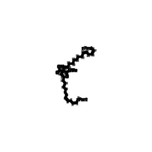 CCCCC/C=C\C/C=C\CCCCCCCCC(CCCCCCCC/C=C\C/C=C\CCCCC)(C(=O)OC)C(=O)OC